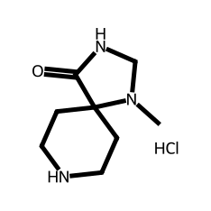 CN1CNC(=O)C12CCNCC2.Cl